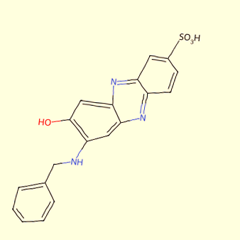 O=S(=O)(O)c1ccc2nc3cc(NCc4ccccc4)c(O)cc3nc2c1